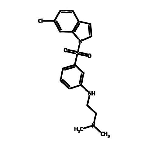 CN(C)CCNc1cccc(S(=O)(=O)n2ccc3ccc(Cl)cc32)c1